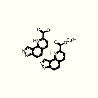 O=C([O-])c1ccc2ccc3nncc3c2[nH]1.O=C([O-])c1ccc2ccc3nncc3c2[nH]1.[Cu+2]